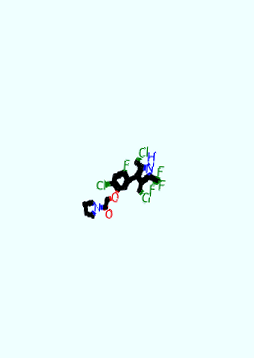 O=C(COc1cc(-c2c(CCl)[nH]c(C(F)(F)F)c2CCl)c(F)cc1Cl)N1CCCC1